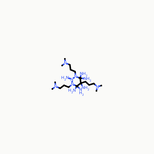 CN(C)CCCN1N(N)N(CCCN(C)C)C(N)(N)C(N)(CCCN(C)C)C1(N)N